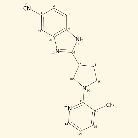 [C-]#[N+]c1ccc2[nH]c(C3CCN(c4ncccc4Cl)C3)nc2c1